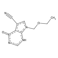 CCOCn1cc(C#N)c2c(=O)nc[nH]c21